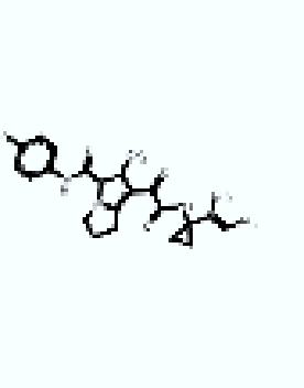 CC1C(C(=O)C(=O)NC2(/C(N)=C/N)CC2)=C2CCCN2C1C(=O)Nc1ccc(F)cc1